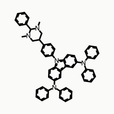 CN1CC(c2ccc(-n3c4ccc(N(c5ccccc5)c5ccccc5)cc4c4cc(N(c5ccccc5)c5ccccc5)ccc43)cc2)CN(C)C1c1ccccc1